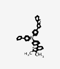 CC1Sc2c(-c3ccc(N(c4ccc(-c5ccccc5)cc4)c4ccc(-c5ccc6sc7ccccc7c6c5)cc4)cc3)cccc2C1C